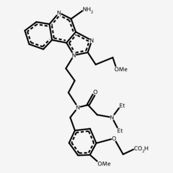 CCN(CC)CC(=O)N(CCCn1c(CCOC)nc2c(N)nc3ccccc3c21)Cc1ccc(OC)c(OCC(=O)O)c1